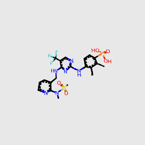 Cc1c(Nc2ncc(C(F)(F)F)c(NCc3cccnc3N(C)S(C)(=O)=O)n2)ccc(P(=O)(O)O)c1C